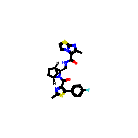 Cc1nc(C(=O)N2[C@@H]3CC[C@@H](C3)[C@H]2CNC(=O)c2c(C)nc3sccn23)c(-c2ccc(F)cc2)s1